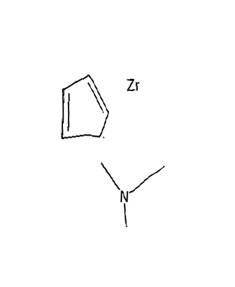 CN(C)C.[CH]1C=CC=C1.[Zr]